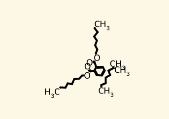 CCCCCCC(C)C.CCCCCCCCOC(=O)c1ccccc1C(=O)OCCCCCCCC